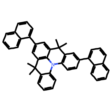 CC1(C)c2ccccc2N2c3ccc(-c4cccc5ccccc45)cc3C(C)(C)c3cc(-c4cccc5ccccc45)cc1c32